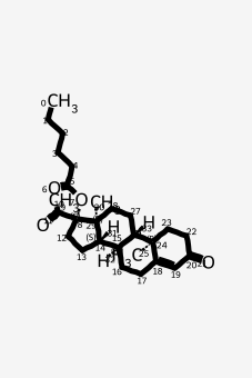 CCCCCC(=O)O[C@@]1(C(C)=O)CC[C@H]2[C@@H]3CCC4=CC(=O)CC[C@]4(C)[C@H]3CC[C@@]21C